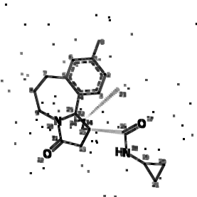 Cc1ccc2c(c1)CCCN1C(=O)CC3[C@H](C(=O)NC4CC4)[C@@H](C)CC231